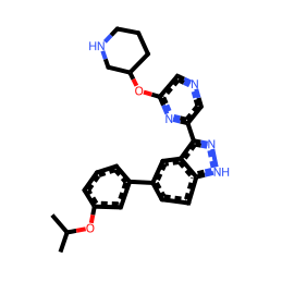 CC(C)Oc1cccc(-c2ccc3[nH]nc(-c4cncc(OC5CCCNC5)n4)c3c2)c1